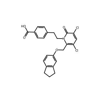 O=C(O)c1ccc(CCn2c(COc3ccc4c(c3)CCC4)c(Cl)cc(Cl)c2=O)cc1